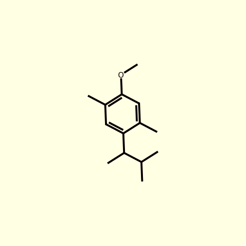 COc1cc(C)c(C(C)C(C)C)cc1C